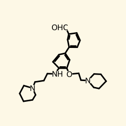 O=Cc1cccc(-c2ccc(NCCCN3CCCCC3)c(OCCN3CCCCC3)c2)c1